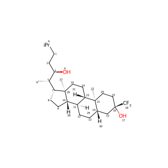 CC(C)CC[C@@H](O)[C@@H](C)[C@H]1CC[C@H]2[C@@H]3CC[C@H]4C[C@](O)(C(F)(F)F)CC[C@]4(C)[C@H]3CC[C@]12C